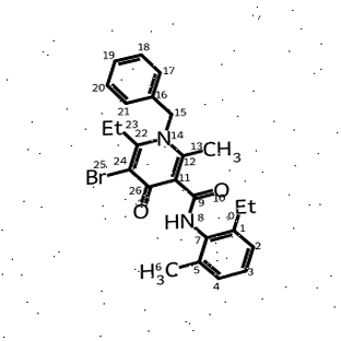 CCc1cccc(C)c1NC(=O)c1c(C)n(Cc2ccccc2)c(CC)c(Br)c1=O